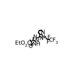 CCOC(=O)C1(C)C(=O)Nc2nc(-c3nn(CCC(F)(F)C(F)(F)F)c4ncccc34)ncc21